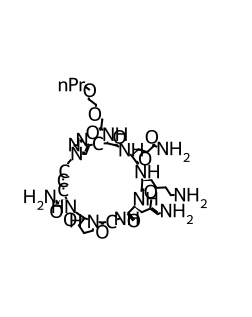 CCCOCCOCC(=O)N[C@H]1Cc2cn(nn2)CCCC[C@@H](C(N)=O)NC(=O)[C@@H]2CCCN2C(=O)CNC(=O)[C@H](C/C(C)=C/N)NC(=O)[C@H](CCCCN)NC(=O)[C@H](CCC(N)=O)NC1=O